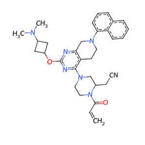 C=CC(=O)N1CCN(c2nc(OC3CC(N(C)C)C3)nc3c2CCN(c2cccc4ccccc24)C3)CC1CC#N